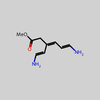 COC(=O)CC(=C/C=C/N)/C=C/N